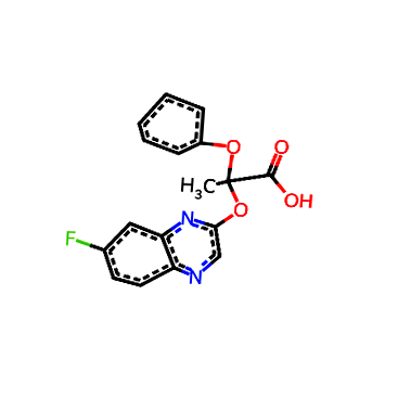 CC(Oc1ccccc1)(Oc1cnc2ccc(F)cc2n1)C(=O)O